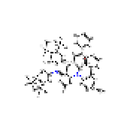 Cc1cc2c3c(c1)N(c1ccc(C(C)(C)C)cc1-c1ccccc1)c1ccc(-c4ccccc4)cc1B3c1cc3c(cc1N2c1cc2c(cc1C)C(C)(C)CC2(C)C)C(C)(C)CCC3(C)C